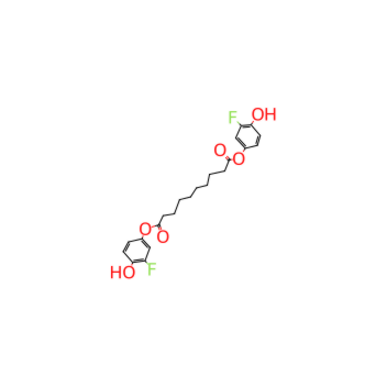 O=C(CCCCCCCCC(=O)Oc1ccc(O)c(F)c1)Oc1ccc(O)c(F)c1